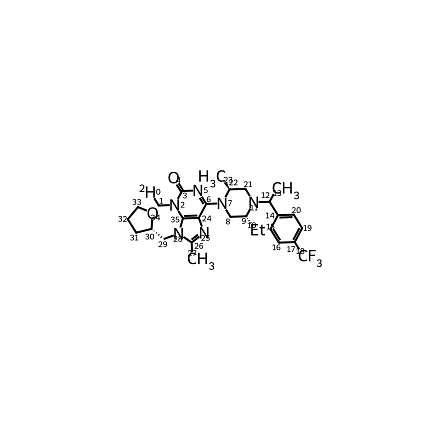 [2H]Cn1c(=O)nc(N2C[C@@H](CC)N(C(C)c3ccc(C(F)(F)F)cc3)C[C@@H]2C)c2nc(C)n(C[C@@H]3CCCO3)c21